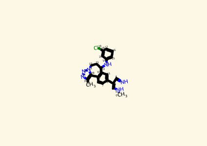 CN/C=C(\C=N)c1ccc2c(c1)C(Nc1cccc(Cl)c1)CCn1nnc(C)c1-2